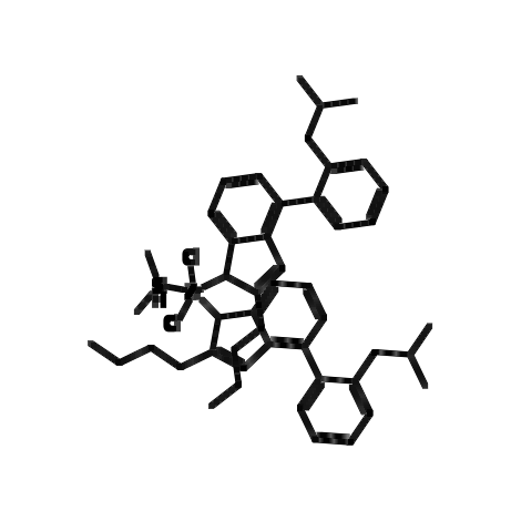 CCCCC1=Cc2c(-c3ccccc3CC(C)C)cccc2[CH]1[Zr]([Cl])([Cl])([CH]1C(CCCC)=Cc2c(-c3ccccc3CC(C)C)cccc21)[SiH](C)C